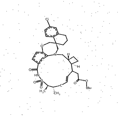 C[C@@H]1[C@@H](C)C/C=C/C(CC(=O)OC(C)(C)C)[C@@H]2CC[C@H]2CN2C[C@@]3(CCCc4cc(Cl)ccc43)COc3ccc(cc32)C(=O)NS1(=O)=O